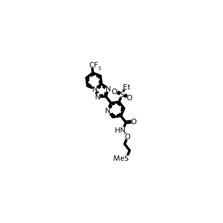 CCS(=O)(=O)c1cc(C(=O)NOCCSC)cnc1-c1nc2cc(C(F)(F)F)ccn2n1